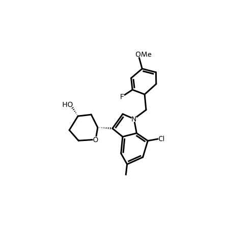 COC1=CCC(Cn2cc([C@H]3C[C@@H](O)CCO3)c3cc(C)cc(Cl)c32)C(F)=C1